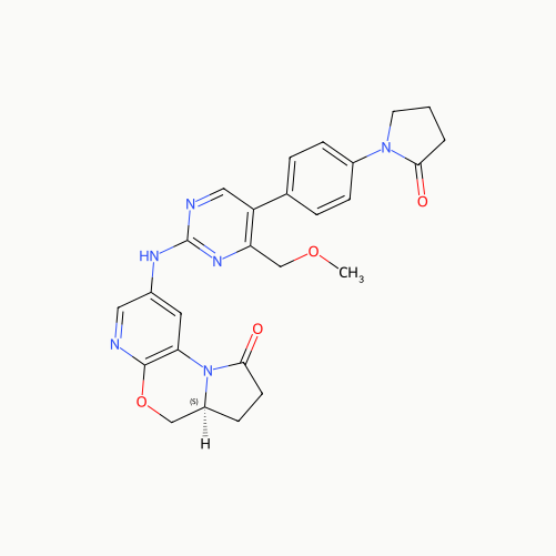 COCc1nc(Nc2cnc3c(c2)N2C(=O)CC[C@H]2CO3)ncc1-c1ccc(N2CCCC2=O)cc1